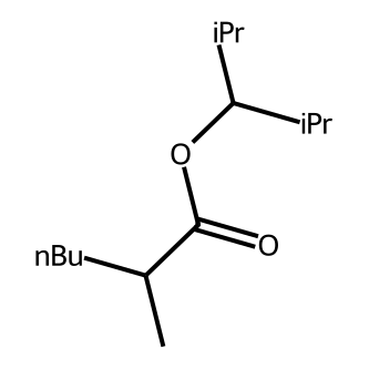 CCCCC(C)C(=O)OC(C(C)C)C(C)C